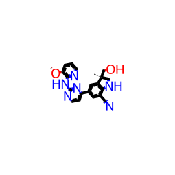 COc1cccnc1Nc1nccc(-c2cc(C#N)c3c(c2)[C@@](C)(CO)CN3)n1